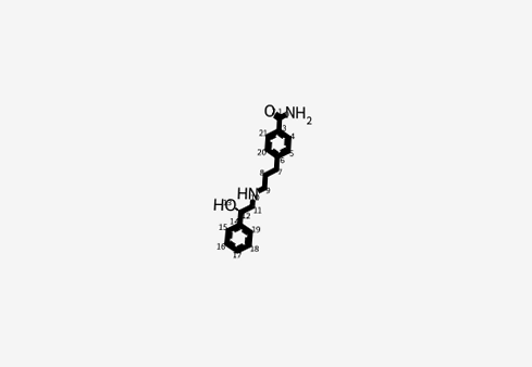 NC(=O)c1ccc(CCCNC[C@@H](O)c2ccccc2)cc1